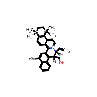 C=CC1(CC)[n+]2ccc3c4c(ccc3c2-c2cc(C(C)(C)C)c3ccccc3c2C1(CC)CO)[Si](C)(C)CC[Si]4(C)C